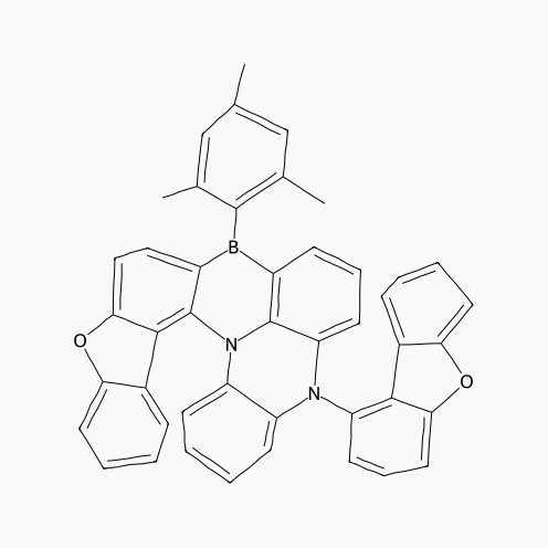 Cc1cc(C)c(B2c3cccc4c3N(c3ccccc3N4c3cccc4oc5ccccc5c34)c3c2ccc2oc4ccccc4c32)c(C)c1